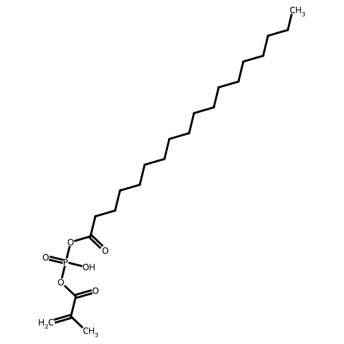 C=C(C)C(=O)OP(=O)(O)OC(=O)CCCCCCCCCCCCCCCCC